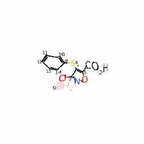 BOc1noc(C(=O)O)c1Sc1ccccc1